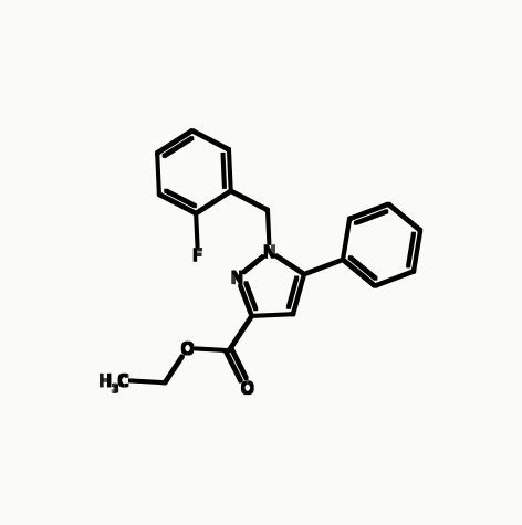 CCOC(=O)c1cc(-c2ccccc2)n(Cc2ccccc2F)n1